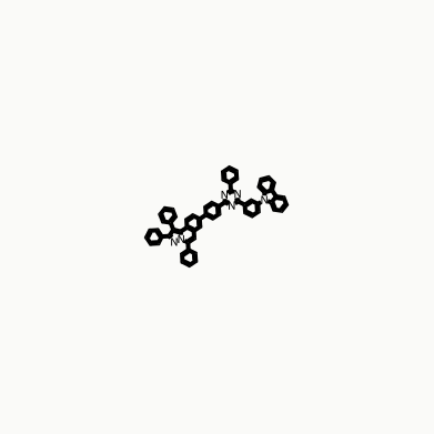 c1ccc(-c2nc(-c3ccc(-c4ccc5c(c4)cc(-c4ccccc4)n4nc(-c6ccccc6)c(-c6ccccc6)c54)cc3)nc(-c3cccc(-n4c5ccccc5c5ccccc54)c3)n2)cc1